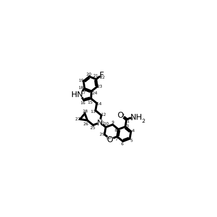 NC(=O)c1cccc2c1CC(N(CCCc1c[nH]c3ccc(F)cc13)CC1CC1)CO2